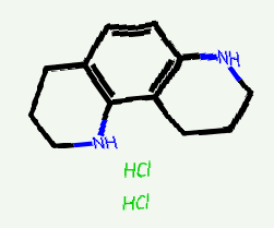 Cl.Cl.c1cc2c(c3c1CCCN3)CCCN2